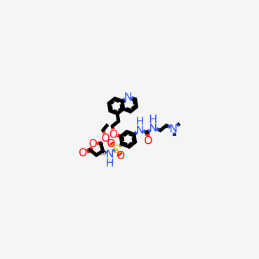 CCOC1OC(=O)C[C@@H]1NS(=O)(=O)c1ccc(NC(=O)NCCN(C)C)cc1OCCc1cccc2ncccc12